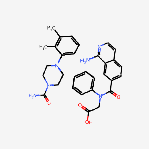 Cc1cccc(N2CCN(C(N)=O)CC2)c1C.Nc1nccc2ccc(C(=O)N(CC(=O)O)c3ccccc3)cc12